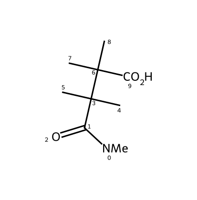 CNC(=O)C(C)(C)C(C)(C)C(=O)O